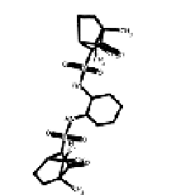 CC12CCC(C(S(=O)(=O)NC3CCCCC3NS(=O)(=O)C3C(=O)C4(C)CCC3C4(C)C)C1=O)C2(C)C